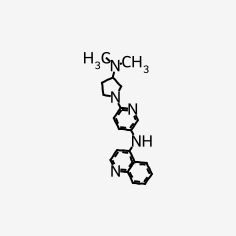 CN(C)C1CCN(c2ccc(Nc3ccnc4ccccc34)cn2)C1